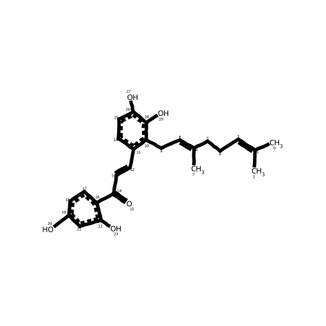 CC(C)=CCC/C(C)=C/Cc1c(/C=C/C(=O)c2ccc(O)cc2O)ccc(O)c1O